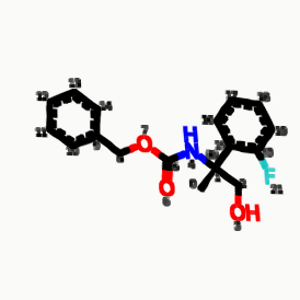 C[C@@](CO)(NC(=O)OCc1ccccc1)c1ccccc1F